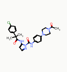 CC(=O)N1CCN(c2ccc(NC(=O)n3nccc3NC(=O)C(C)(C)c3ccc(Cl)cc3)cc2)CC1